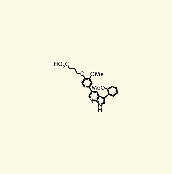 COc1cc(-c2cnc3[nH]cc(-c4ccccc4OC)c3c2)ccc1OCCCC(=O)O